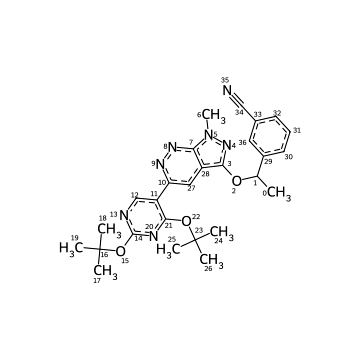 CC(Oc1nn(C)c2nnc(-c3cnc(OC(C)(C)C)nc3OC(C)(C)C)cc12)c1cccc(C#N)c1